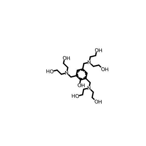 OCCN(CCO)Cc1cc(CN(CCO)CCO)c(O)c(CN(CCO)CCO)c1